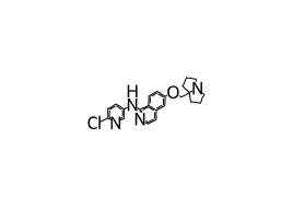 Clc1ccc(Nc2nccc3cc(OCC45CCCN4CCC5)ccc23)cn1